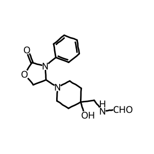 O=CNCC1(O)CCN(C2COC(=O)N2c2ccccc2)CC1